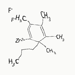 CCCC1(C)C(C)=C(C)C(C)=[C]1[Zr+2].[F-].[F-]